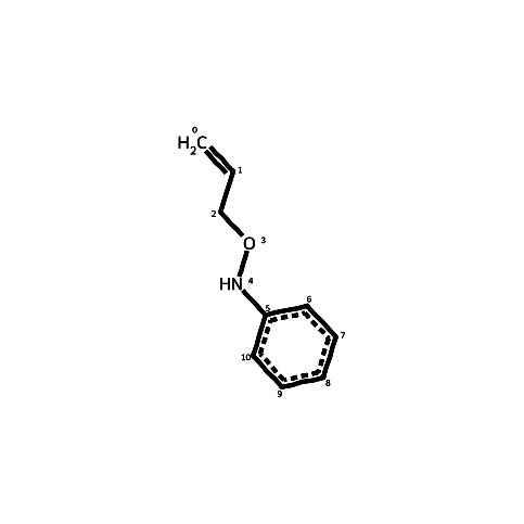 C=CCONc1ccccc1